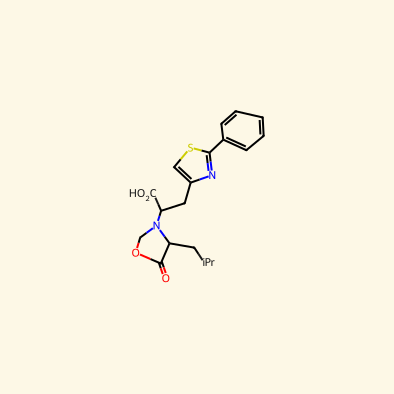 CC(C)CC1C(=O)OCN1C(Cc1csc(-c2ccccc2)n1)C(=O)O